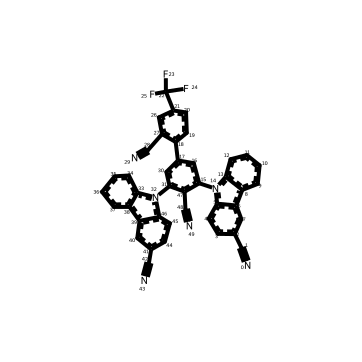 N#Cc1ccc2c(c1)c1ccccc1n2-c1cc(-c2ccc(C(F)(F)F)cc2C#N)cc(-n2c3ccccc3c3cc(C#N)ccc32)c1C#N